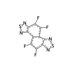 Fc1c(F)c2c3nsnc3c(F)c(F)c2c2nsnc12